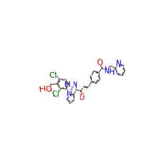 NC(C(=O)/C=C/c1ccc(C(=O)NCc2ccccn2)cc1)c1cccn1-c1ccc(Cl)c(CO)c1Cl